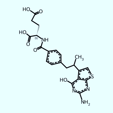 CC(Cc1ccc(C(=O)N[C@@H](CCC(=O)O)C(=O)O)cc1)c1csc2nc(N)nc(O)c12